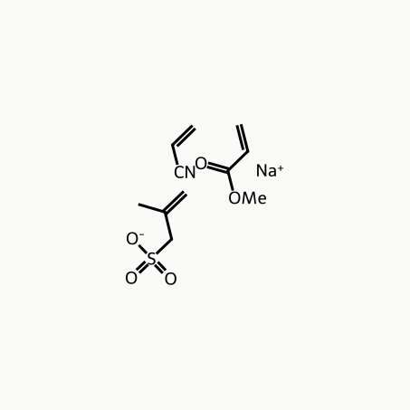 C=C(C)CS(=O)(=O)[O-].C=CC#N.C=CC(=O)OC.[Na+]